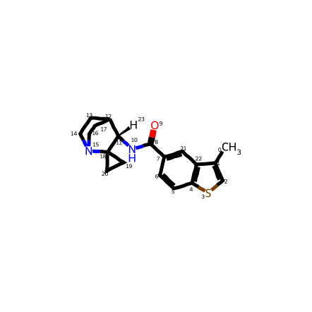 Cc1csc2ccc(C(=O)N[C@H]3C4CCN(CC4)C34CC4)cc12